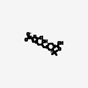 CC(C)(C)[C@H]1CN(CC(O)Cn2cc([N+](=O)[O-])nc2Cl)CCN1C(=O)O